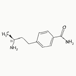 C[C@H](N)CCc1ccc(C(N)=O)cc1